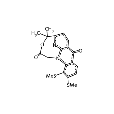 CSc1ccc2c(=O)c3ccc4nc3n(c2c1SC)CC(=O)OC4(C)C